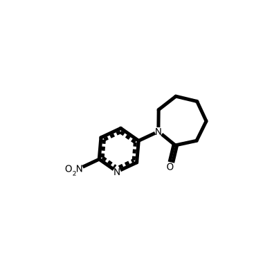 O=C1CCCCCN1c1ccc([N+](=O)[O-])nc1